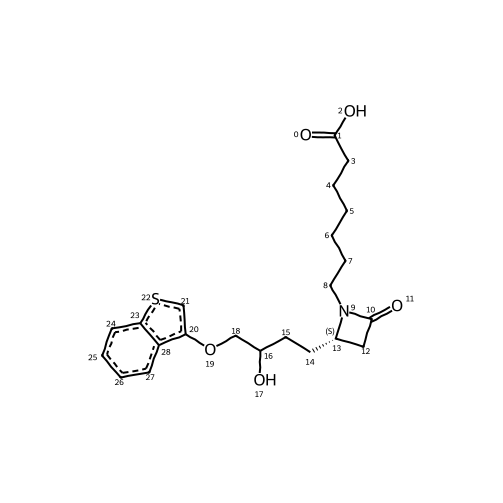 O=C(O)CCCCCCN1C(=O)C[C@@H]1CCC(O)COc1csc2ccccc12